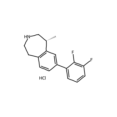 C[C@H]1CNCCc2ccc(-c3cccc(F)c3F)cc21.Cl